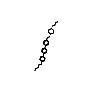 CCCCCc1ccc(-c2ccc(-c3ccc(CC[C@H]4CC[C@H](CCCC)CC4)cc3)cc2)cc1